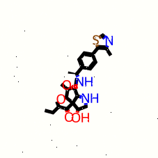 CCC(C)C(=O)C1(C(=O)C(C)CC)C(O)CNC1C(=O)N[C@@H](C)c1ccc(-c2scnc2C)cc1